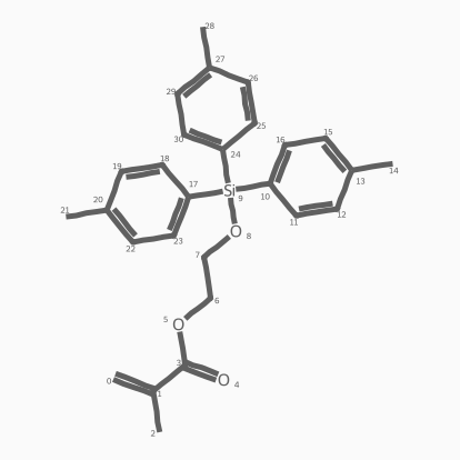 C=C(C)C(=O)OCCO[Si](c1ccc(C)cc1)(c1ccc(C)cc1)c1ccc(C)cc1